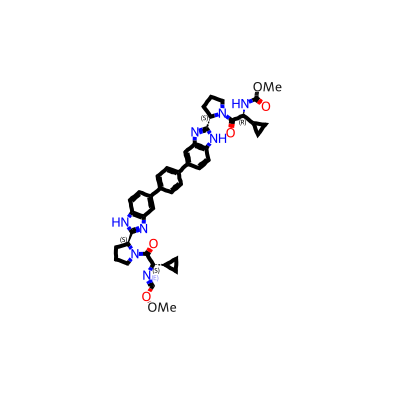 COO/C=N/[C@H](C(=O)N1CCC[C@H]1c1nc2cc(-c3ccc(-c4ccc5[nH]c([C@@H]6CCCN6C(=O)[C@H](NC(=O)OC)C6CC6)nc5c4)cc3)ccc2[nH]1)C1CC1